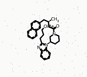 COCCCc1nc2ccccc2n1[C@@H]1CCCN(C(=O)C[C@H](C)Cc2ccc3ccccc3c2)C1